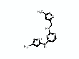 Cc1cc(Nc2ccnc(NCc3cc(C)no3)n2)[nH]n1